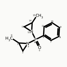 CC1CN1P(=O)(c1ccccc1)N1CC1C